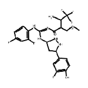 CNCC(C(=O)/N=C(/Nc1ccc(F)cc1F)NC1CC(c2ccc(O)c(F)c2)NN1)C(N)C(F)(F)F